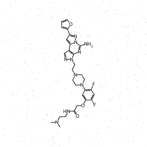 CN(C)CCNC(=O)COc1cc(N2CCN(CCn3ncc4c3nc(N)n3nc(-c5ccco5)cc43)CC2)c(F)cc1F